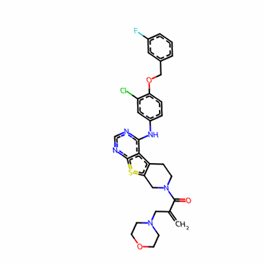 C=C(CN1CCOCC1)C(=O)N1CCc2c(sc3ncnc(Nc4ccc(OCc5cccc(F)c5)c(Cl)c4)c23)C1